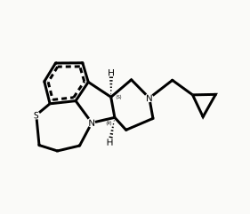 c1cc2c3c(c1)[C@H]1CN(CC4CC4)CC[C@H]1N3CCCS2